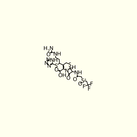 NC(=O)NCCC(Sc1nnn[nH]1)C1=C(C(=O)O)N2C(=O)C(NC(=O)C[S+]([O-])CC(F)(F)F)[C@@H]2SC1